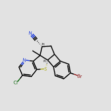 CC12c3ncc(Cl)cc3S[C@]13c1ccc(Br)cc1C3C[C@H]2C#N